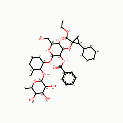 CCOC(=O)C1(OC2C(O)C(CO)OC(OC3CCCC(C)C3OC3OC(C)C(O)C(O)C3O)C2OC(=O)c2ccccc2)CC1C1CCCCC1